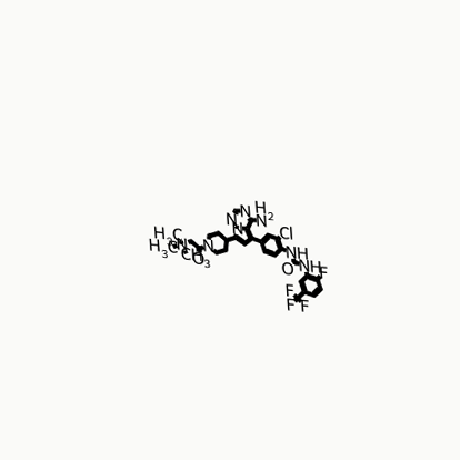 C[N+](C)(C)CC(=O)N1CCC(c2cc(-c3ccc(NC(=O)Nc4cc(C(F)(F)F)ccc4F)c(Cl)c3)c3c(N)ncnn23)CC1